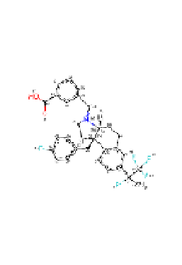 CC(F)(c1ccc2c(c1)CC[C@H]1N(Cc3cccc(C(=O)O)c3)CC[C@@]21Cc1ccc(F)cc1)C(F)(F)F